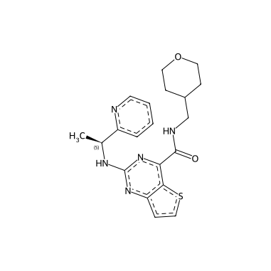 C[C@H](Nc1nc(C(=O)NCC2CCOCC2)c2sccc2n1)c1ccccn1